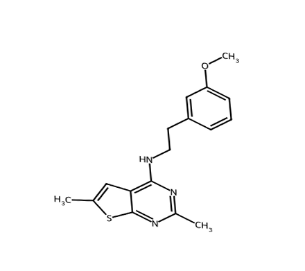 COc1cccc(CCNc2nc(C)nc3sc(C)cc23)c1